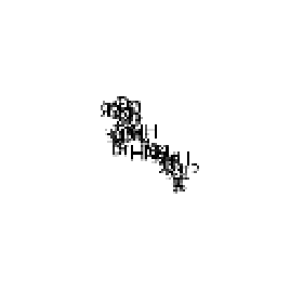 CC(C)(C)OC(=O)N1C(=O)O[C@H](C(=O)NCCCCNC(=O)CC(N)Cc2cc(F)ccc2F)[C@H]1Cc1ccc(Br)cc1